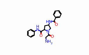 NCC(=O)N1CC(NC(=O)c2ccccc2)CC1C(=O)Nc1ccccc1